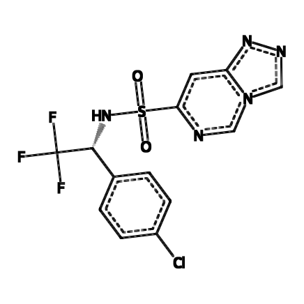 O=S(=O)(N[C@H](c1ccc(Cl)cc1)C(F)(F)F)c1cc2nncn2cn1